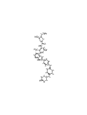 Cc1c(NC(=O)N2CC(O)C(CC(C)C)C2)cc(F)cc1-c1ncnc2[nH]c(-c3ccc(CN4CCN(CC5CCNCC5)CC4)cc3)cc12